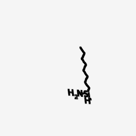 CCCCCCCC[SiH](C)N